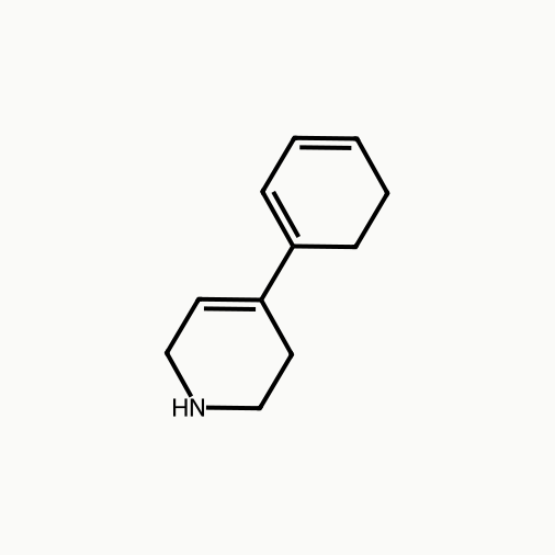 C1=CCCC(C2=CCNCC2)=C1